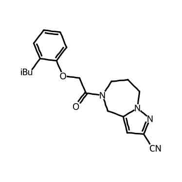 CCC(C)c1ccccc1OCC(=O)N1CCCn2nc(C#N)cc2C1